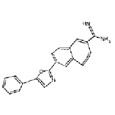 N=C(N)c1ccc2cc(-c3ncc(-c4ccccc4)o3)ccc2c1